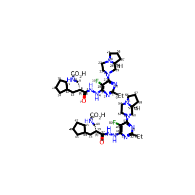 CCc1nc(NNC(=O)[C@@H](CNC(=O)O)CC2CCCC2)c(F)c(N2CCN3CCC[C@H]3C2)n1.CCc1nc(NNC(=O)[C@@H](CNC(=O)O)CC2CCCC2)c(F)c(N2CCN3CCC[C@H]3C2)n1